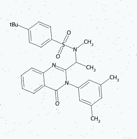 Cc1cc(C)cc(-n2c(C(C)N(C)S(=O)(=O)c3ccc(C(C)(C)C)cc3)nc3ccccc3c2=O)c1